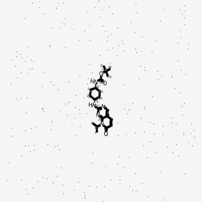 CC(C)n1c(=O)ccc2cnc(N[C@H]3CC[C@H](NC(=O)OC(C)(C)C)CC3)nc21